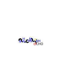 O=CC(=O)C1NCS/C1=C\c1ccnc(N2CCC(CNCc3ccccn3)CC2)n1